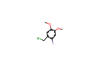 COc1cc(I)c(CBr)cc1OC